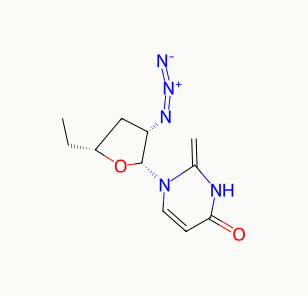 C=C1NC(=O)C=CN1[C@@H]1O[C@H](CC)C[C@@H]1N=[N+]=[N-]